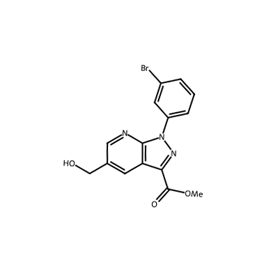 COC(=O)c1nn(-c2cccc(Br)c2)c2ncc(CO)cc12